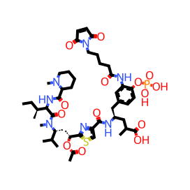 CC[C@H](C)C(NC(=O)C1CCCCN1C)C(=O)N(C)[C@H](C[C@@H](OC(C)=O)c1nc(C(=O)N[C@@H](Cc2ccc(OP(=O)(O)O)c(NC(=O)CCCCN3C(=O)C=CC3=O)c2)CC(C)C(=O)O)cs1)C(C)C